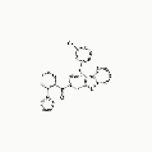 CCCCCN(Cc1nc2cccnc2n1Cc1cccc(Cl)c1)C(=O)c1ccccc1-n1cccc1